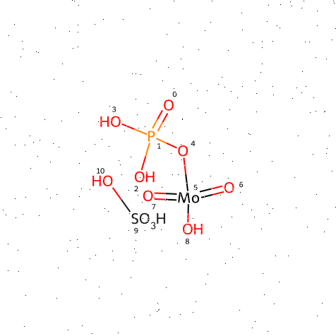 O=P(O)(O)[O][Mo](=[O])(=[O])[OH].O=S(=O)(O)O